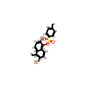 Cc1ccc(S(=O)(=O)Oc2c(Br)ccc3c(C)c(Br)ccc23)cc1